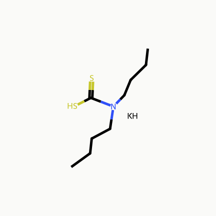 CCCCN(CCCC)C(=S)S.[KH]